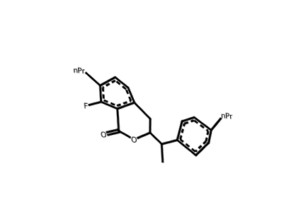 CCCc1ccc(C(C)C2Cc3ccc(CCC)c(F)c3C(=O)O2)cc1